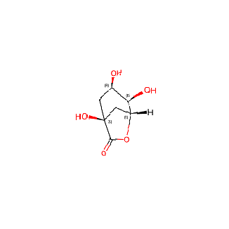 O=C1O[C@@H]2C[C@@]1(O)C[C@@H](O)[C@H]2O